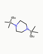 CC(C)(C)[Si](C)(C)N1CCN([Si](C)(C)C(C)(C)C)CC1